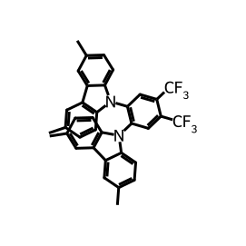 Cc1ccc2c(c1)c1cc(C)ccc1n2-c1cc(C(F)(F)F)c(C(F)(F)F)cc1-n1c2ccc(C)cc2c2cc(C)ccc21